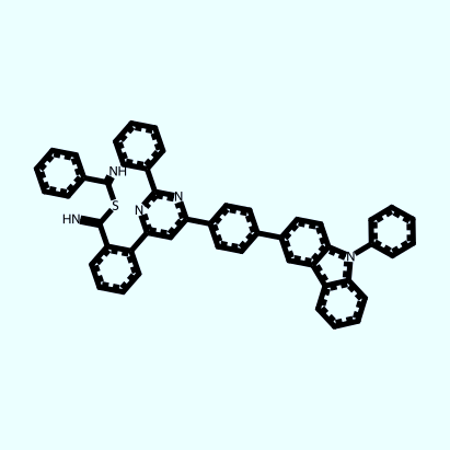 N=C(SC(=N)c1ccccc1-c1cc(-c2ccc(-c3ccc4c(c3)c3ccccc3n4-c3ccccc3)cc2)nc(-c2ccccc2)n1)c1ccccc1